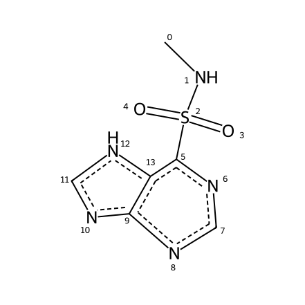 CNS(=O)(=O)c1ncnc2nc[nH]c12